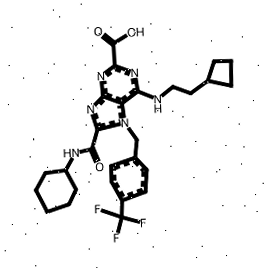 O=C(O)c1nc(NCCC2CCC2)c2c(n1)nc(C(=O)NC1CCCCC1)n2Cc1ccc(C(F)(F)F)cc1